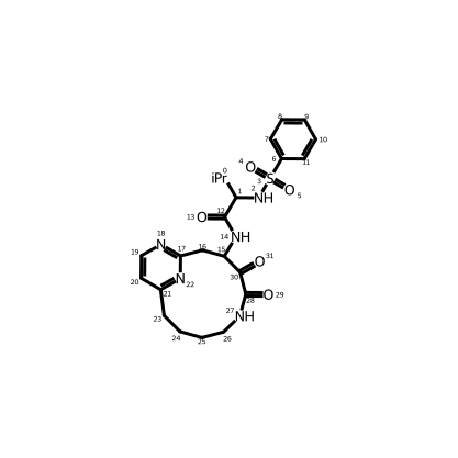 CC(C)C(NS(=O)(=O)c1ccccc1)C(=O)NC1Cc2nccc(n2)CCCCNC(=O)C1=O